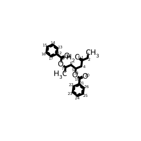 C=C(CC)CC(CC(C)OC(=O)c1ccccc1)OC(=O)c1ccccc1